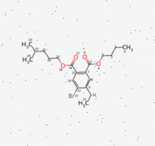 CCCCOC(=O)c1cc(CC)c(Br)cc1C(=O)OCCCC(C)C